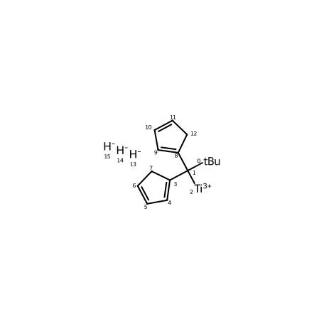 CC(C)(C)[C]([Ti+3])(C1=CC=CC1)C1=CC=CC1.[H-].[H-].[H-]